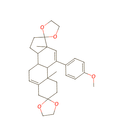 COc1ccc(C2=CC3(C)C(CCC34OCCO4)C3CC=C4CC5(CCC4(C)C23)OCCO5)cc1